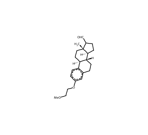 COCCOc1ccc2c(c1)CC[C@@H]1[C@@H]2CC[C@]2(C)C(C=O)CC[C@@H]12